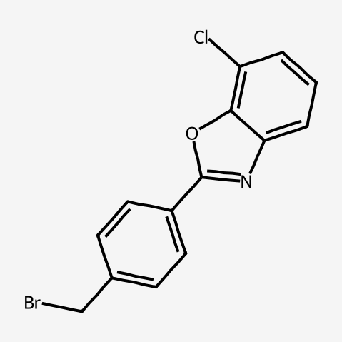 Clc1cccc2nc(-c3ccc(CBr)cc3)oc12